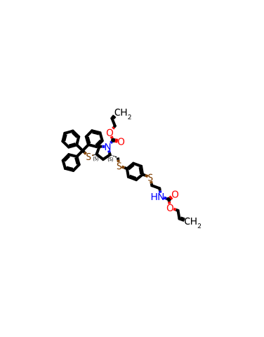 C=CCOC(=O)NCCSc1ccc(SC[C@@H]2C[C@H](SC(c3ccccc3)(c3ccccc3)c3ccccc3)CN2C(=O)OCC=C)cc1